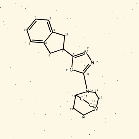 c1ccc2c(c1)CC(c1nnc(N3CCN4CCC3CC4)o1)C2